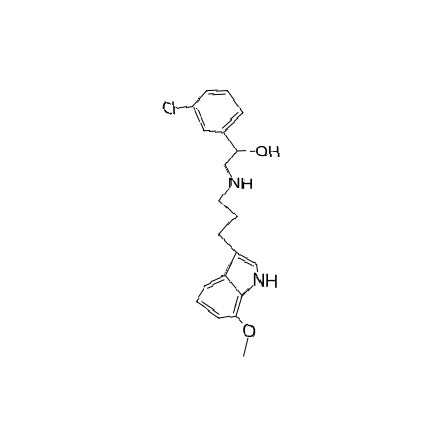 COc1cccc2c(CCCNCC(O)c3cccc(Cl)c3)c[nH]c12